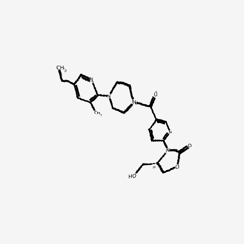 CCc1cnc(N2CCN(C(=O)c3ccc(N4C(=O)OC[C@H]4CO)nc3)CC2)c(C)c1